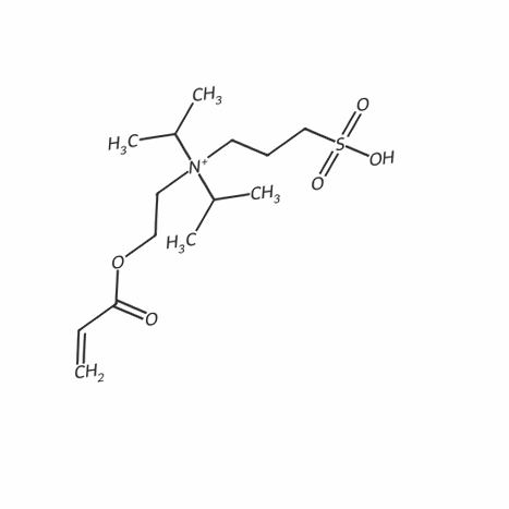 C=CC(=O)OCC[N+](CCCS(=O)(=O)O)(C(C)C)C(C)C